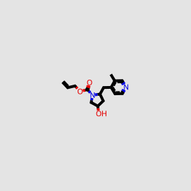 C=CCOC(=O)N1CC(O)CC1Cc1ccncc1C